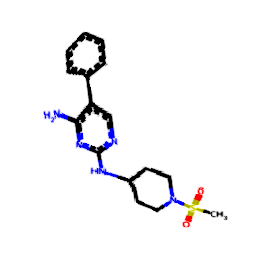 CS(=O)(=O)N1CCC(Nc2ncc(-c3[c]cccc3)c(N)n2)CC1